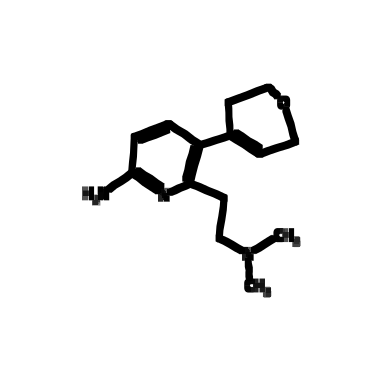 CN(C)CCc1nc(N)ccc1C1=CCOCC1